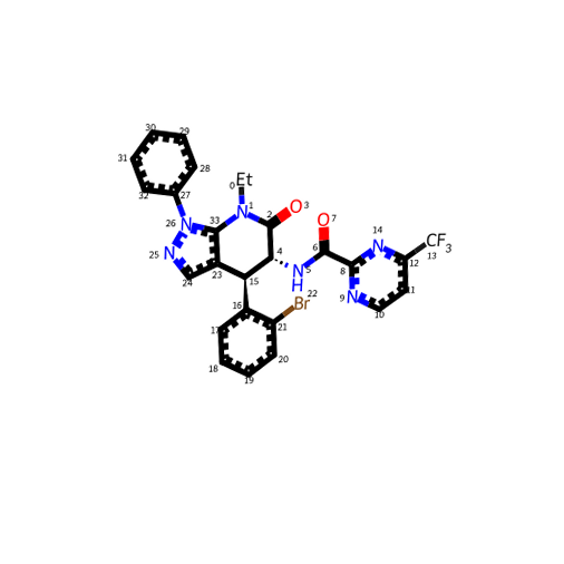 CCN1C(=O)[C@H](NC(=O)c2nccc(C(F)(F)F)n2)[C@@H](c2ccccc2Br)c2cnn(-c3ccccc3)c21